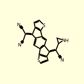 N#CC(C#N)=C1c2cc3c(cc2-c2sccc21)/C(=C(/C#N)C1CN1)c1ccsc1-3